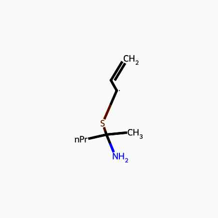 C=C[CH]SC(C)(N)CCC